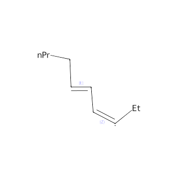 CC/[C]=C\C=C\CCCC